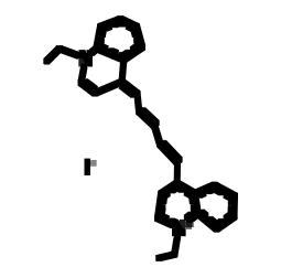 CCN1C=CC(=CC=CC=Cc2cc[n+](CC)c3ccccc23)c2ccccc21.[I-]